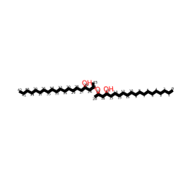 CCCCCCCCCCCCCCCCC(O)CC(C)OC(C)CC(O)CCCCCCCCCCCCCCCC